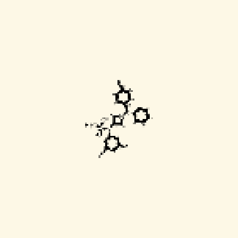 CS(=O)(=O)N(c1cc(F)cc(F)c1)C1CN([C@@H](c2ccccc2)c2ccc(Br)cc2)C1